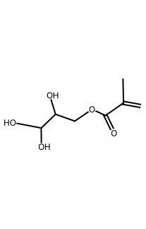 C=C(C)C(=O)OCC(O)C(O)O